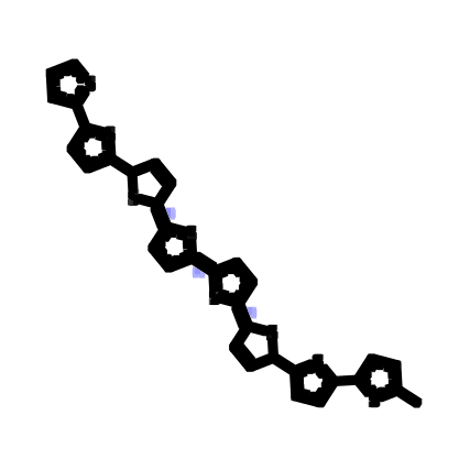 Cc1ccc(-c2ccc(C3C=C/C(=c4/cc/c(=c5/cc/c(=C6/C=CC(c7ccc(-c8cccs8)s7)S6)s5)s4)S3)s2)s1